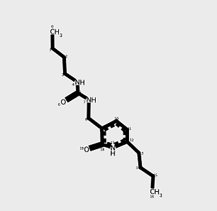 CCCCNC(=O)NCc1ccc(CCCC)[nH]c1=O